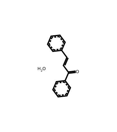 O.O=C(C=Cc1ccccc1)c1ccccc1